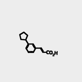 O=C(O)C=Cc1cccc(C2CCCC2)c1